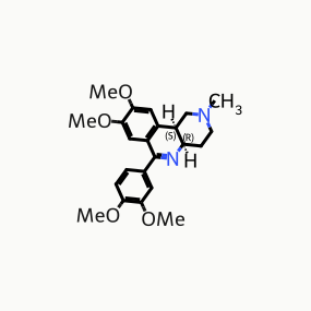 COc1ccc(C2=N[C@@H]3CCN(C)C[C@@H]3c3cc(OC)c(OC)cc32)cc1OC